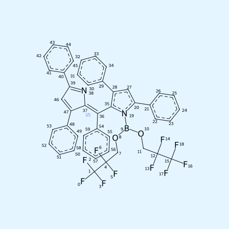 FC(F)(F)C(F)(F)COB(OCC(F)(F)C(F)(F)F)n1c(-c2ccccc2)cc(-c2ccccc2)c1/C(=C1\N=C(c2ccccc2)C=C1c1ccccc1)c1ccccc1